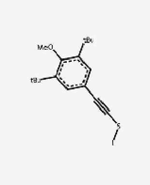 COc1c(C(C)(C)C)cc(C#CSI)cc1C(C)(C)C